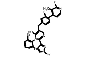 CCc1cccc(CC)c1N1C(c2ccn(C(C)C)n2)=NCC(Cc2ccc(-c3ccnc(F)c3C)c(F)c2)=C1O